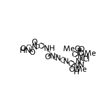 COc1cc(N2CCC(N3CCN(C(=O)CCNc4ccc5c(c4)CN(C4CCC(=O)NC4=O)C5=O)CC3)CC2)ccc1Nc1ncc(Cl)c(Nc2ccccc2P(=O)(OC)OC)n1